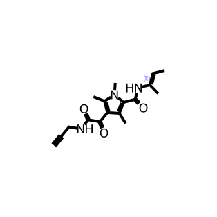 C#CCNC(=O)C(=O)c1c(C)c(C(=O)N/C(C)=C/C)n(C)c1C